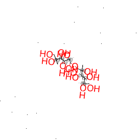 C[C@](O)(C(O)OC(O)[C@](C)(O)[C@@H](O)[C@H](O)[C@](C)(O)CO)[C@@H](O)[C@H](O)[C@](C)(O)CO